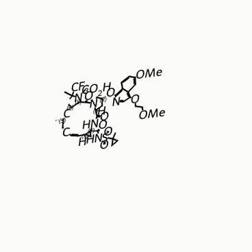 COCCOc1cnc(O[C@@H]2C[C@H]3C(=O)N[C@]4(C(=O)NS(=O)(=O)C5(C)CC5)C[C@H]4C=CCC[C@H](C)C[C@@H](C)[C@H](N(C(=O)O)C(C)(C)C(F)(F)F)C(=O)N3C2)c2ccc(OC)cc12